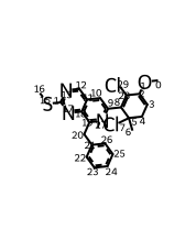 COC1=CCC(C)(Cl)C(c2cc3cnc(SC)nc3c(Cc3ccccc3)n2)=C1Cl